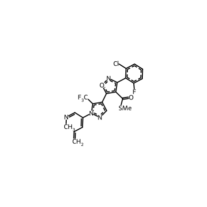 C=C/C=C(\C=N/C)n1ncc(-c2onc(-c3c(F)cccc3Cl)c2C(=O)SC)c1C(F)(F)F